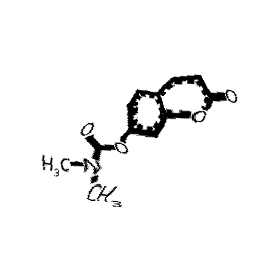 CN(C)C(=O)Oc1ccc2ccc(=O)oc2c1